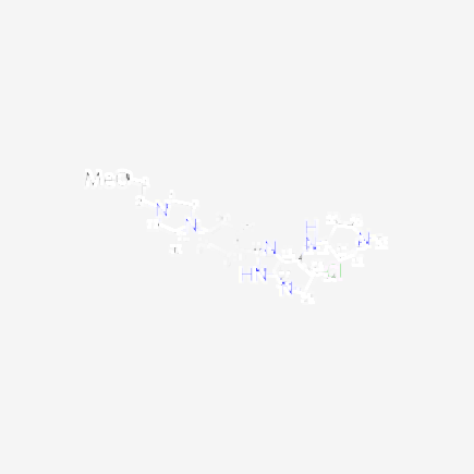 COCCN1CCN(c2ccc(-c3nc4c(NC5CCN(C)CC5)c(Cl)cnc4[nH]3)cc2)C(C)C1